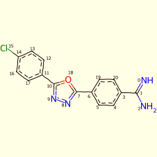 N=C(N)c1ccc(-c2nnc(-c3ccc(Cl)cc3)o2)cc1